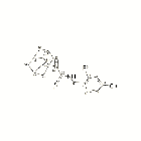 Fc1cc(Cl)ccc1CNC(=S)NC12CC3CC(CC(C3)C1)C2